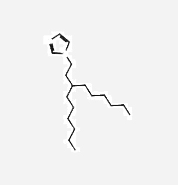 CCCCCCC(CCCCCC)CCn1ccnc1